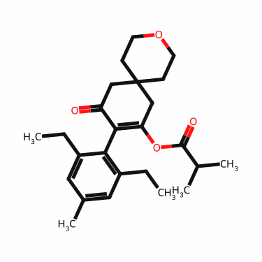 CCc1cc(C)cc(CC)c1C1=C(OC(=O)C(C)C)CC2(CCOCC2)CC1=O